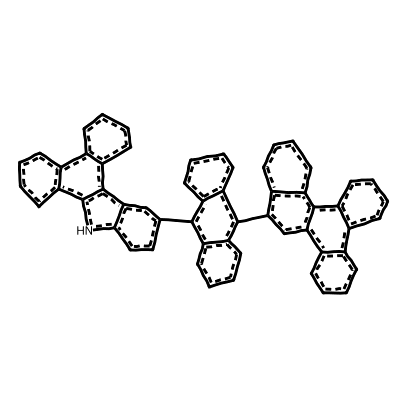 c1ccc2c(-c3cc4c5ccccc5c5ccccc5c4c4ccccc34)c3ccccc3c(-c3ccc4[nH]c5c6ccccc6c6ccccc6c5c4c3)c2c1